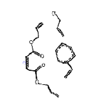 C=CCCl.C=CCOC(=O)/C=C\C(=O)OCC=C.C=Cc1ccccc1